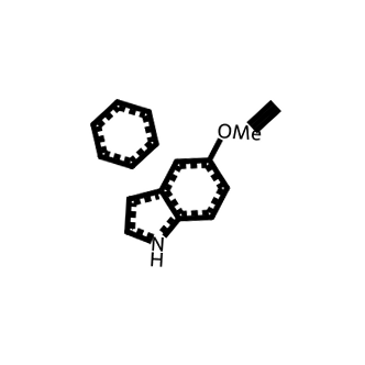 C#C.COc1ccc2[nH]ccc2c1.c1ccccc1